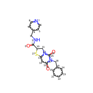 O=C(NCc1ccncc1)C1Cn2c(cc(=O)n(Cc3ccccc3)c2=O)S1